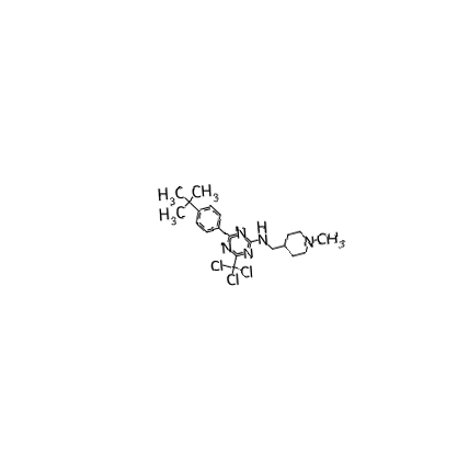 CN1CCC(CNc2nc(-c3ccc(C(C)(C)C)cc3)nc(C(Cl)(Cl)Cl)n2)CC1